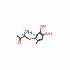 CC(=O)[C@@H](N)Cc1cc(O)c(O)cc1C